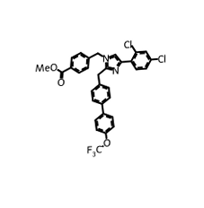 COC(=O)c1ccc(Cn2cc(-c3ccc(Cl)cc3Cl)nc2Cc2ccc(-c3ccc(OC(F)(F)F)cc3)cc2)cc1